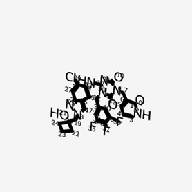 O=c1[nH]cccc1Cn1c(=O)nc(Nc2cc3cn(CC4(O)CCC4)nc3cc2Cl)n(Cc2cc(F)c(F)c(F)c2)c1=O